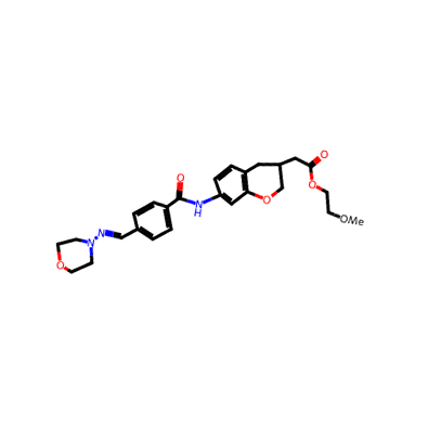 COCCOC(=O)CC1COc2cc(NC(=O)c3ccc(C=NN4CCOCC4)cc3)ccc2C1